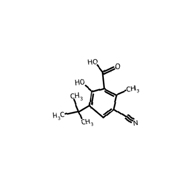 Cc1c(C#N)cc(C(C)(C)C)c(O)c1C(=O)O